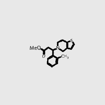 COC(=O)CC(c1ccccc1C)N1CCc2sccc2C1